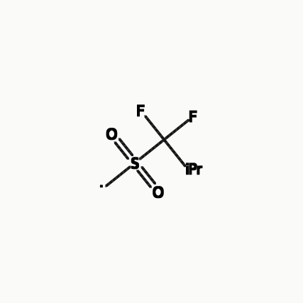 [CH2]S(=O)(=O)C(F)(F)C(C)C